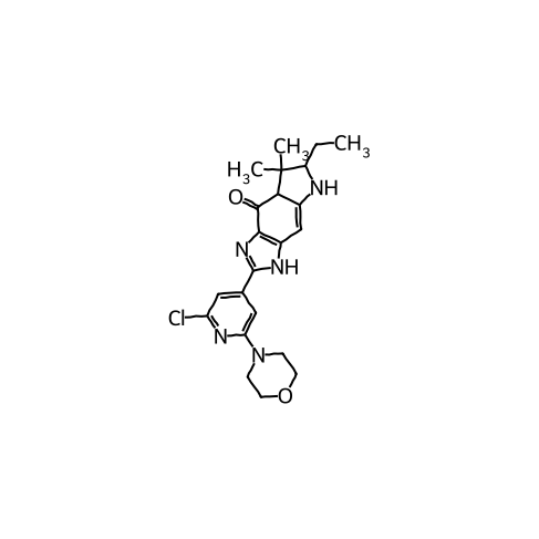 CCC1NC2=Cc3[nH]c(-c4cc(Cl)nc(N5CCOCC5)c4)nc3C(=O)C2C1(C)C